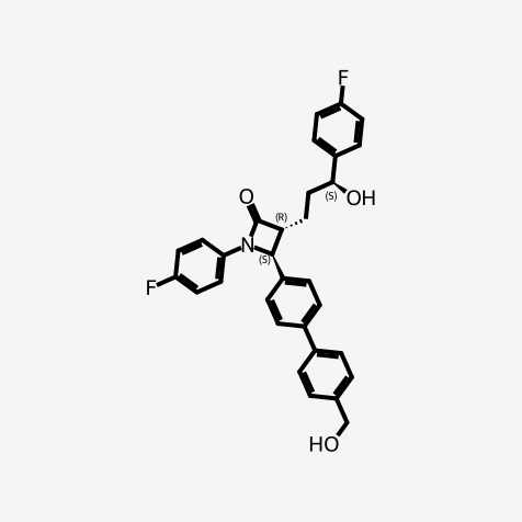 O=C1[C@H](CC[C@H](O)c2ccc(F)cc2)[C@@H](c2ccc(-c3ccc(CO)cc3)cc2)N1c1ccc(F)cc1